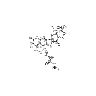 CC[C@@]1(O)C(=O)OCc2c1cc1n(c2=O)Cc2c-1nc1cc(F)c(C)c3c1c2[C@H](OCNC(=O)CN)CC3